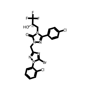 O=c1n(Cc2nc(Br)n(-c3ccccc3Cl)n2)nc(-c2ccc(Cl)cc2)n1C[C@H](O)C(F)(F)F